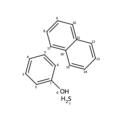 Oc1ccccc1.S.c1ccc2ccccc2c1